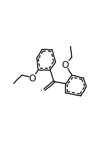 [CH]=C(c1ccccc1OCC)c1ccccc1OCC